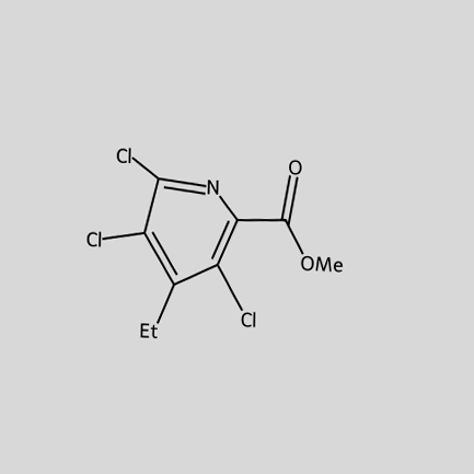 CCc1c(Cl)c(Cl)nc(C(=O)OC)c1Cl